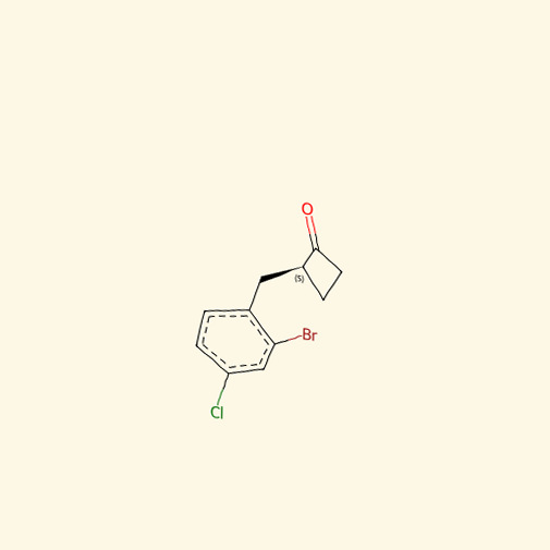 O=C1CC[C@H]1Cc1ccc(Cl)cc1Br